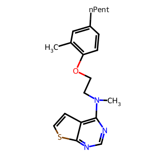 CCCCCc1ccc(OCCN(C)c2ncnc3sccc23)c(C)c1